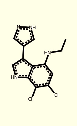 CCNc1cc(Cl)c(Cl)c2[nH]cc(-c3cn[nH]c3)c12